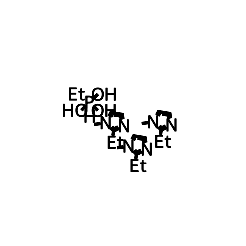 CC[PH](O)(O)O.CCc1nccn1C.CCc1nccn1C.CCc1nccn1C